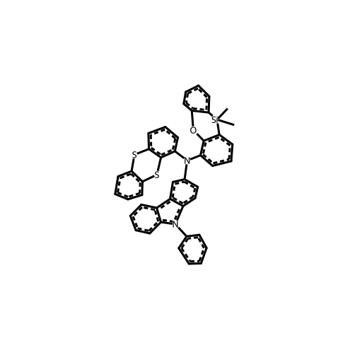 C[Si]1(C)c2ccccc2Oc2c(N(c3ccc4c(c3)c3ccccc3n4-c3ccccc3)c3cccc4c3Sc3ccccc3S4)cccc21